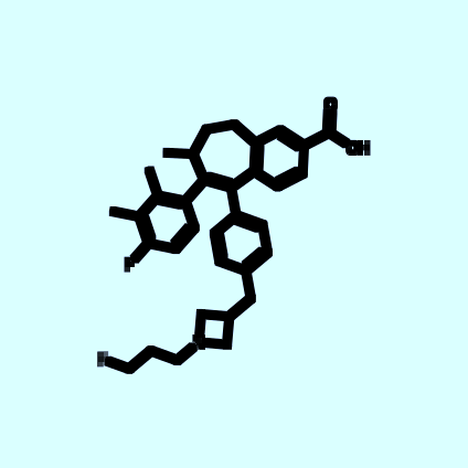 Cc1c(F)ccc(C2=C(c3ccc(CC4CN(CCCF)C4)cc3)c3ccc(C(=O)O)cc3CCC2C)c1C